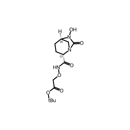 CC(C)(C)OC(=O)CONC(=O)[C@@H]1CC[C@@H]2CN1C(=O)N2O